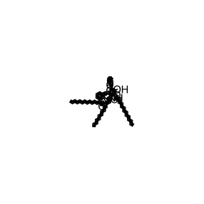 CCCCCCCCCCCCCC(=O)O[C@H](CCCCCCCCCCC)CC(=O)N[C@H]1[C@H](OCc2ccccc2)O[C@H](CO[Si](C)(C)C(C)(C)C)[C@@H](O)[C@@H]1OC(=O)CCCCCCCCCCCCC